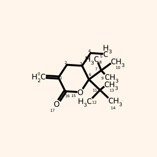 C=C1CC(CC)C(C(C)(C)C)(C(C)(C)C)OC1=O